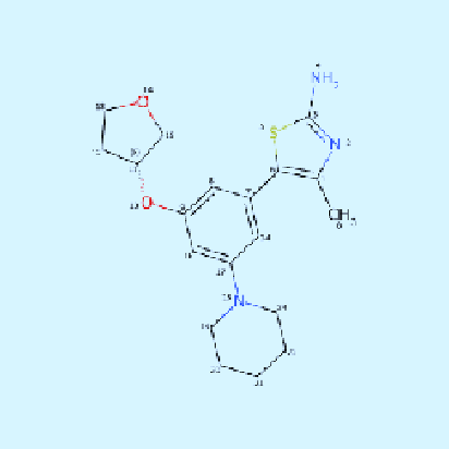 Cc1nc(N)sc1-c1cc(O[C@@H]2CCOC2)cc(N2CCCCC2)c1